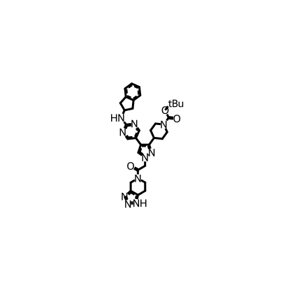 CC(C)(C)OC(=O)N1CCC(c2nn(CC(=O)N3CCc4[nH]nnc4C3)cc2-c2cnc(NC3Cc4ccccc4C3)nc2)CC1